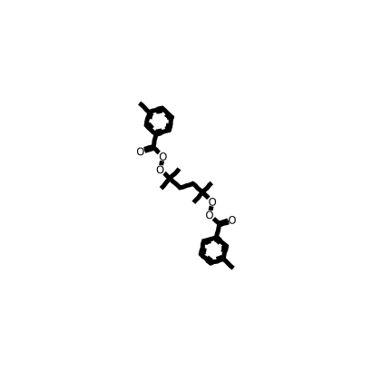 Cc1cccc(C(=O)OOC(C)(C)CCC(C)(C)OOC(=O)c2cccc(C)c2)c1